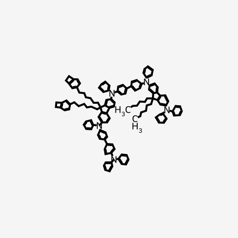 CCCCCCC1(CCCCCC)c2cc(N(c3ccccc3)c3ccccc3)ccc2-c2ccc(N(c3ccccc3)c3ccc(-c4ccc(N(c5ccccc5)c5ccc6c(c5)C(CCCCCCc5ccc7c(c5)CC7)(CCCCCCc5ccc7c(c5)CC7)c5cc(N(c7ccccc7)c7ccc(-c8ccc(N(c9ccccc9)c9ccccc9)cc8)cc7)ccc5-6)cc4)cc3)cc21